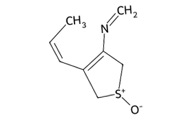 C=NC1=C(/C=C\C)C[S+]([O-])C1